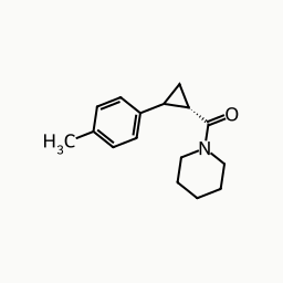 Cc1ccc(C2C[C@@H]2C(=O)N2CCCCC2)cc1